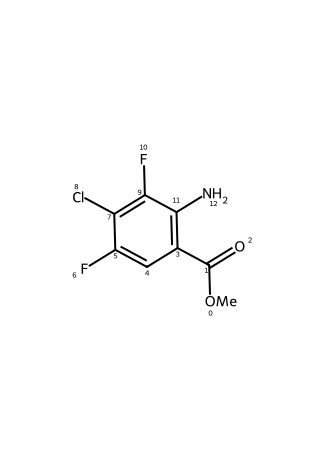 COC(=O)c1cc(F)c(Cl)c(F)c1N